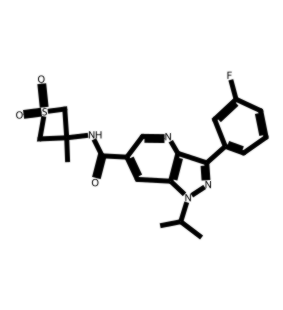 CC(C)n1nc(-c2cccc(F)c2)c2ncc(C(=O)NC3(C)CS(=O)(=O)C3)cc21